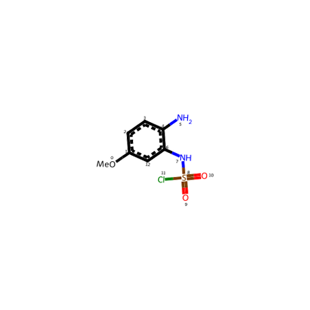 COc1ccc(N)c(NS(=O)(=O)Cl)c1